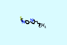 C=CCCc1ccc(-c2ccc(N=C=S)cc2)nc1